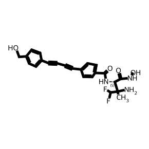 CC(N)(C(F)F)[C@H](NC(=O)c1ccc(C#CC#Cc2ccc(CO)cc2)cc1)C(=O)NO